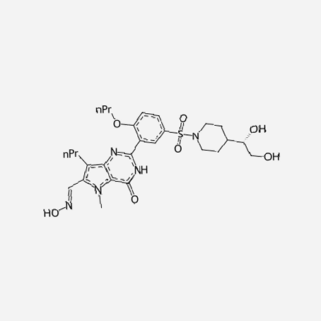 CCCOc1ccc(S(=O)(=O)N2CCC([C@H](O)CO)CC2)cc1-c1nc2c(CCC)c(/C=N/O)n(C)c2c(=O)[nH]1